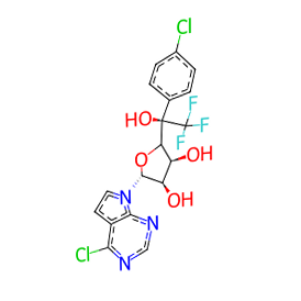 O[C@@H]1[C@H](O)C([C@](O)(c2ccc(Cl)cc2)C(F)(F)F)O[C@H]1n1ccc2c(Cl)ncnc21